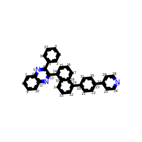 c1ccc(-c2nc3ccccc3nc2-c2cccc3c(-c4ccc(-c5ccncc5)cc4)cccc23)cc1